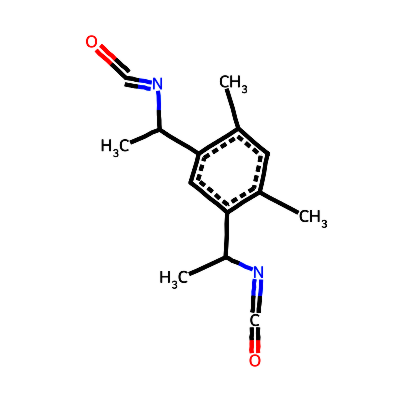 Cc1cc(C)c(C(C)N=C=O)cc1C(C)N=C=O